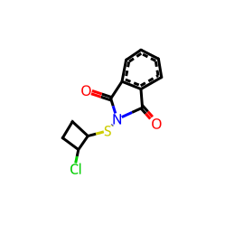 O=C1c2ccccc2C(=O)N1SC1CCC1Cl